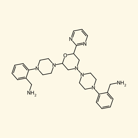 NCc1ccccc1N1CCN(C2CN(N3CCN(c4ccccc4CN)CC3)CC(c3ncccn3)O2)CC1